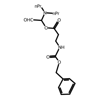 CCCN(CCC)C(C=O)OC(=O)CCNC(=O)OCc1ccccc1